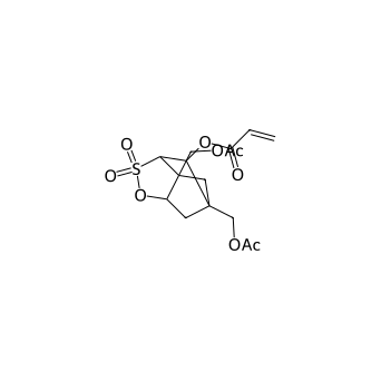 C=CC(=O)OC1C2C3(COC(C)=O)CC1(COC(C)=O)CC3OS2(=O)=O